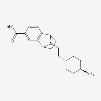 CCCC(=O)c1ccc2c(c1)C1CCC2N1CC[C@H]1CC[C@H](N)CC1